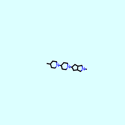 CC1CCN(C2CCN(C3CC4CN(C)CC4C3)CC2)CC1